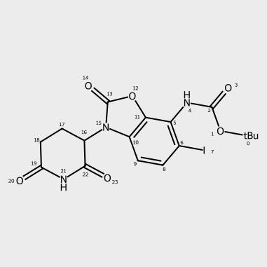 CC(C)(C)OC(=O)Nc1c(I)ccc2c1oc(=O)n2C1CCC(=O)NC1=O